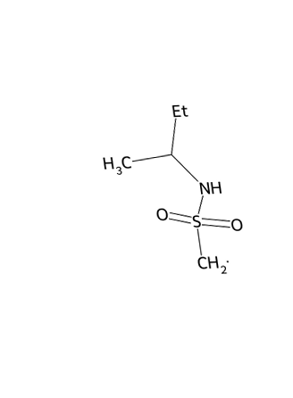 [CH2]S(=O)(=O)NC(C)CC